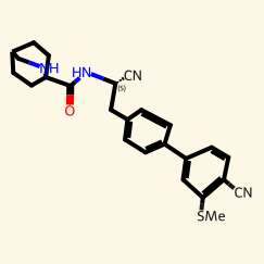 CSc1cc(-c2ccc(C[C@@H](C#N)NC(=O)C34CCC(CC3)CN4)cc2)ccc1C#N